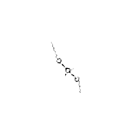 CCCCCCCCCCc1ccc(C#Cc2cc(F)c(C#Cc3ccc(CCCCCCC)cc3)c(F)c2)cc1